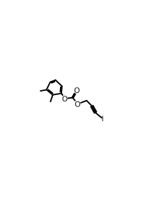 Cc1cccc(OC(=O)OCC#CI)c1C